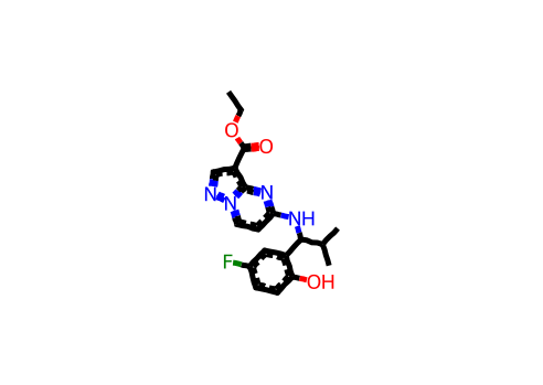 CCOC(=O)c1cnn2ccc(NC(c3cc(F)ccc3O)C(C)C)nc12